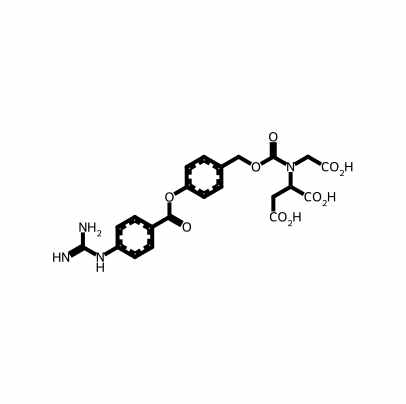 N=C(N)Nc1ccc(C(=O)Oc2ccc(COC(=O)N(CC(=O)O)C(CC(=O)O)C(=O)O)cc2)cc1